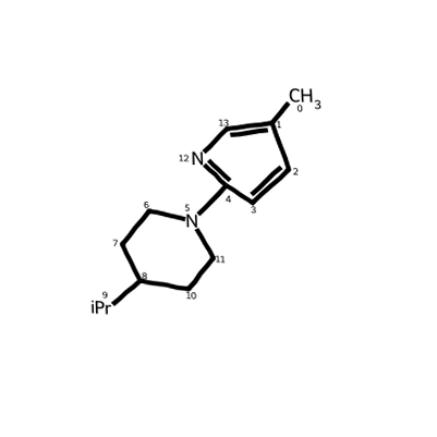 Cc1ccc(N2CCC(C(C)C)CC2)nc1